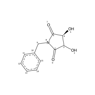 O=C1C(O)[C@H](O)C(=O)N1Cc1ccccc1